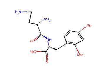 NCC[C@H](N)C(=O)N[C@@H](Cc1ccc(O)cc1O)C(=O)O